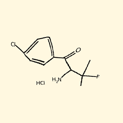 CC(C)(F)C(N)C(=O)c1ccc(Cl)cc1.Cl